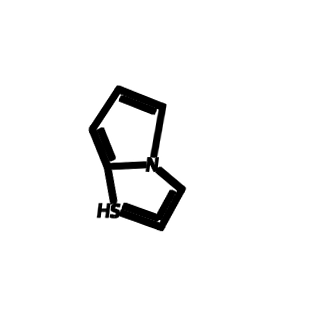 C1=Cn2cccc2[SH]=1